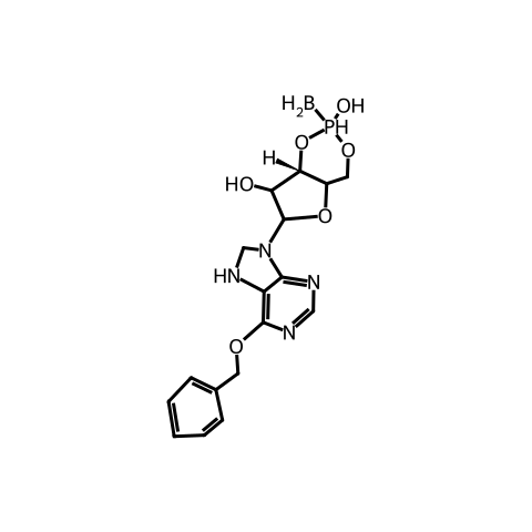 B[PH]1(O)OCC2OC(N3CNc4c(OCc5ccccc5)ncnc43)C(O)[C@@H]2O1